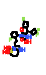 O=C(O)N[C@H](C(=O)Nc1cccc(F)c1CCC1CNC2CCCS(O)(O)N1C2)[C@H](c1ccc(F)cc1)C1CC(F)(F)C1